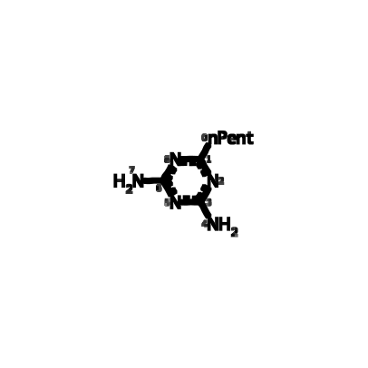 CCCCCc1nc(N)nc(N)n1